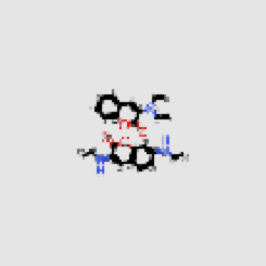 CCN(CC)c1cc2ccccc2oc1=O.CCNc1ccc2cc(NCC)c(=O)oc2c1